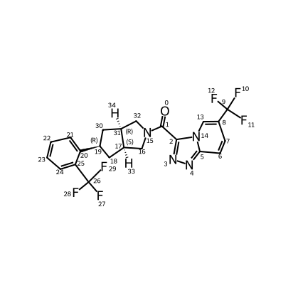 O=C(c1nnc2ccc(C(F)(F)F)cn12)N1C[C@H]2C[C@@H](c3ccccc3C(F)(F)F)C[C@H]2C1